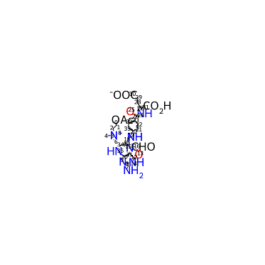 CC(=O)OCC[N+](C)(C)C.Nc1nc2c(c(=O)[nH]1)N(C=O)[C@@H](CNc1ccc(C(=O)N[C@@H](CCC(=O)[O-])C(=O)O)cc1)CN2